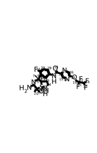 CC1(C)C(N)=N[C@](C)(c2cc(NC(=O)c3cnc(OCC(F)(F)C(F)F)cn3)ccc2F)[C@@H]2CCNS21O